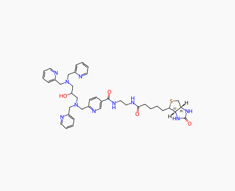 O=C(CCCCC1SC[C@@H]2NC(=O)N[C@H]12)NCCNC(=O)c1ccc(CN(Cc2ccccn2)CC(O)CN(Cc2ccccn2)Cc2ccccn2)nc1